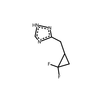 FC1(F)CC1Cc1nc[nH]n1